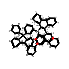 c1ccc(-c2cc(-c3ccccc3)cc(N(c3cccc(C4(c5ccccc5)c5ccccc5-c5ccccc54)c3)c3c(-c4cccc5ccccc45)c4ccccc4c4ccccc34)c2)cc1